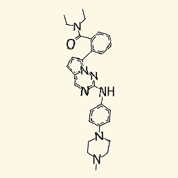 CCN(CC)C(=O)c1ccccc1-c1ccc2cnc(Nc3ccc(N4CCN(C)CC4)cc3)nn12